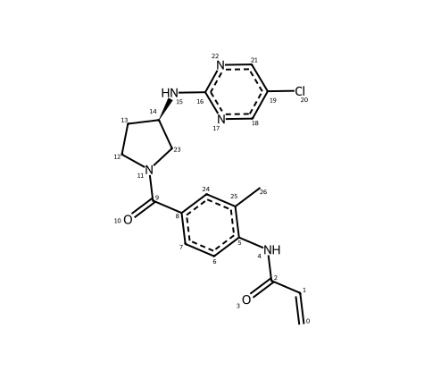 C=CC(=O)Nc1ccc(C(=O)N2CC[C@@H](Nc3ncc(Cl)cn3)C2)cc1C